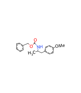 COc1ccc(CC(C)NC(=O)OCc2ccccc2)cc1